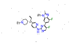 C=C[C@H](c1ccc(Nc2ncc(F)c(-c3cc(F)c4nc(C)n(C(C)C)c4c3)n2)nc1)C1CCN(CC)CC1